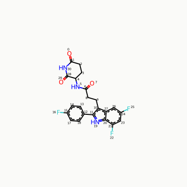 O=C1CCC(NC(=O)CCc2c(-c3ccc(F)cc3)[nH]c3c(F)cc(F)cc23)C(=O)N1